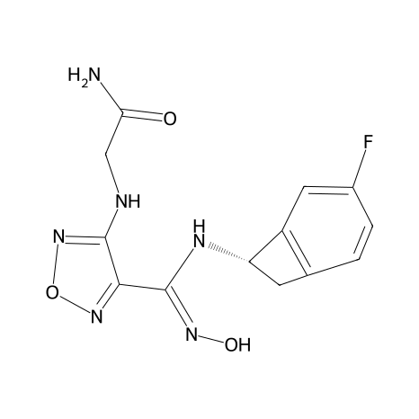 NC(=O)CNc1nonc1/C(=N/O)N[C@H]1Cc2ccc(F)cc21